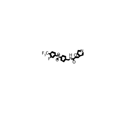 O=C(NCc1ccc(S(=O)(=O)c2ccc(C(F)(F)F)c(F)c2)cc1)c1cc2ccncc2o1